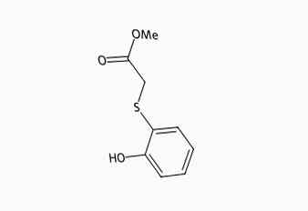 COC(=O)CSc1ccccc1O